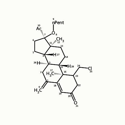 C=C1C[C@H]2[C@@H]3CC[C@](OCCCCC)(C(C)=O)[C@@]3(C)CC[C@@H]2[C@]2(C)C1=CC(=O)CC2CCl